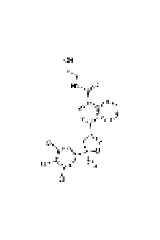 O=C(NCCO)c1ccc(C2=NOC(c3cc(Cl)c(Cl)c(Cl)c3)(C(F)(F)F)C2)c2ccccc12